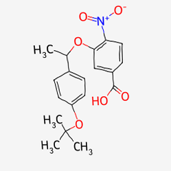 CC(Oc1cc(C(=O)O)ccc1[N+](=O)[O-])c1ccc(OC(C)(C)C)cc1